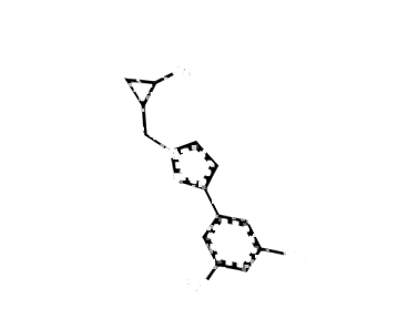 N#CC1CC1Cn1ccc(-c2cc(C(F)(F)F)cc(C(F)(F)F)c2)n1